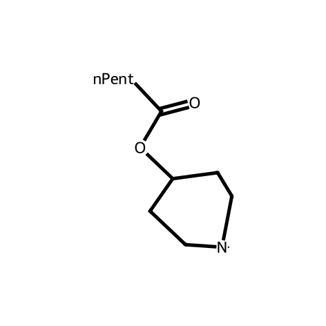 CCCCCC(=O)OC1CC[N]CC1